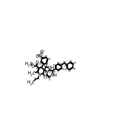 CCCN1C(C)=C(C(=O)OC)C(c2cccc([N+](=O)[O-])c2)C(C(=O)O)(N2CCNC(c3ccc(Cc4ccccc4)cc3)C2)C1C